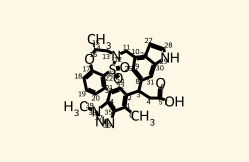 Cc1c(C(CC(=O)O)c2cc(CN3C[C@@H](C)Oc4ccccc4S3(=O)=O)c3cc[nH]c3c2)ccc2c1nnn2C